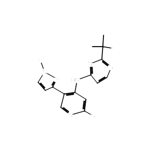 CCCn1ccc(-c2cnc(NC(C)=O)cc2Nc2ccnc(C(C)(F)F)n2)n1